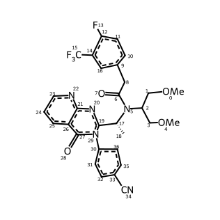 COCC(COC)N(C(=O)Cc1ccc(F)c(C(F)(F)F)c1)[C@H](C)c1nc2ncccc2c(=O)n1-c1ccc(C#N)cc1